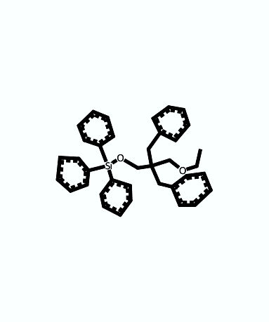 CCOCC(CO[Si](c1ccccc1)(c1ccccc1)c1ccccc1)(Cc1ccccc1)Cc1ccccc1